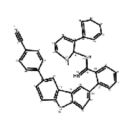 N#Cc1ccc(-c2ccc3oc4ccc(-c5ccccc5C(=N)NC5NC=CC=C5C5=CCCC=C5)cc4c3c2)cc1